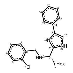 CCCCCC[C@H](NCc1ccccc1Cl)c1nc(-c2ccccc2)c[nH]1